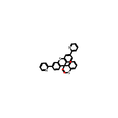 c1ccc(-c2ccc3c(c2)Sc2cc(-c4ccccn4)ccc2C32c3ccccc3Sc3ccccc32)nc1